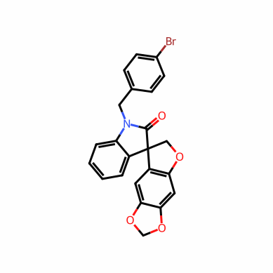 O=C1N(Cc2ccc(Br)cc2)c2ccccc2C12COc1cc3c(cc12)OCO3